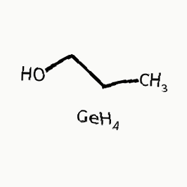 CCCO.[GeH4]